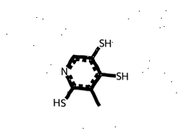 Cc1c(S)ncc(S)c1S